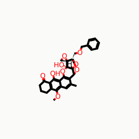 COc1c2c(c(O)c3c4c(c(C)cc13)C1O[C@]3(COCc5ccccc5)O[C@H]1[C@@](O)(O4)[C@@]31CO1)C(=O)CCC2